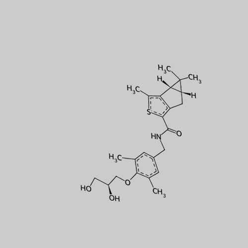 Cc1cc(CNC(=O)c2sc(C)c3c2C[C@@H]2[C@H]3C2(C)C)cc(C)c1OC[C@@H](O)CO